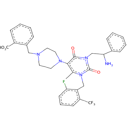 Cc1c(N2CCN(Cc3ccccc3C(=O)O)CC2)c(=O)n(CC(N)c2ccccc2)c(=O)n1Cc1c(F)cccc1C(F)(F)F